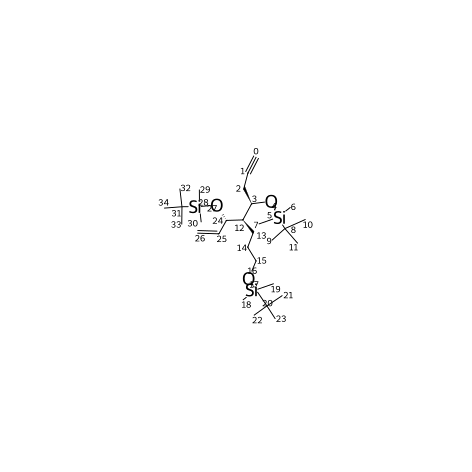 C#CC[C@@H](O[Si](C)(C)C(C)(C)C)[C@@H](CCCO[Si](C)(C)C(C)(C)C)[C@H](C=C)O[Si](C)(C)C(C)(C)C